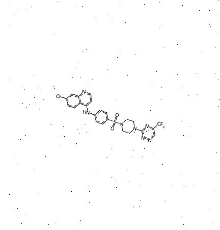 O=S(=O)(c1ccc(Nc2ccnc3cc(Cl)ccc23)cc1)N1CCN(c2nncc(C(F)(F)F)n2)CC1